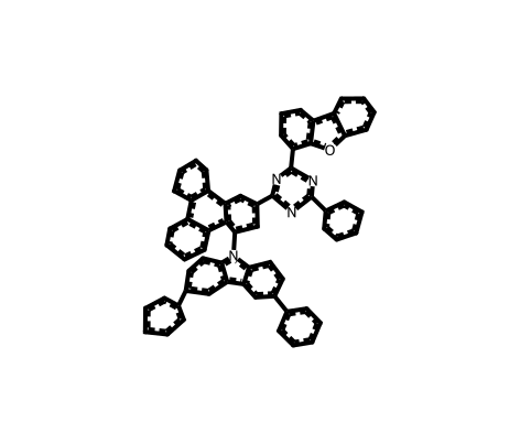 c1ccc(-c2ccc3c(c2)c2cc(-c4ccccc4)ccc2n3-c2cc(-c3nc(-c4ccccc4)nc(-c4cccc5c4oc4ccccc45)n3)cc3c4ccccc4c4ccccc4c23)cc1